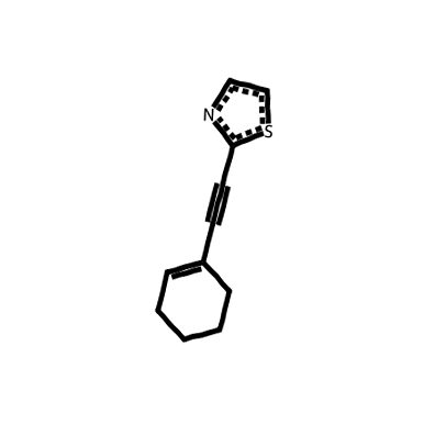 C(#Cc1nccs1)C1=CCCCC1